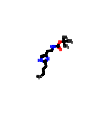 CCCCc1nc(CCNC(=O)OC(C)(C)C)c[nH]1